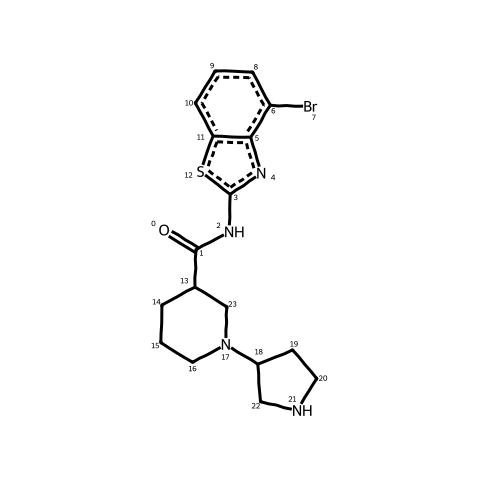 O=C(Nc1nc2c(Br)cccc2s1)C1CCCN(C2CCNC2)C1